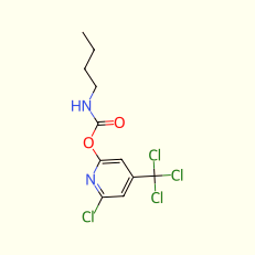 CCCCNC(=O)Oc1cc(C(Cl)(Cl)Cl)cc(Cl)n1